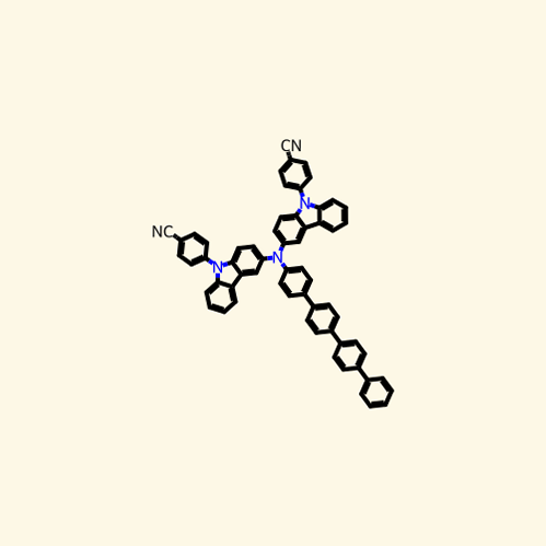 N#Cc1ccc(-n2c3ccccc3c3cc(N(c4ccc(-c5ccc(-c6ccc(-c7ccccc7)cc6)cc5)cc4)c4ccc5c(c4)c4ccccc4n5-c4ccc(C#N)cc4)ccc32)cc1